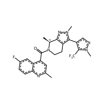 Cc1cc(C(=O)N2CCc3c(nn(C)c3-c3cnn(C)c3C(F)(F)F)[C@@H]2C)c2cc(F)ccc2n1